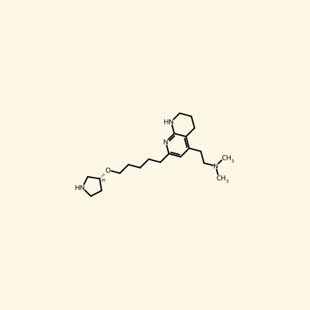 CN(C)CCc1cc(CCCCCO[C@@H]2CCNC2)nc2c1CCCN2